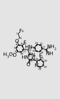 COc1cc(OCCF)c(F)c(C(Nc2ccc(C(=N)N)cc2)c2nn(-c3ncccc3F)c(=O)[nH]2)c1